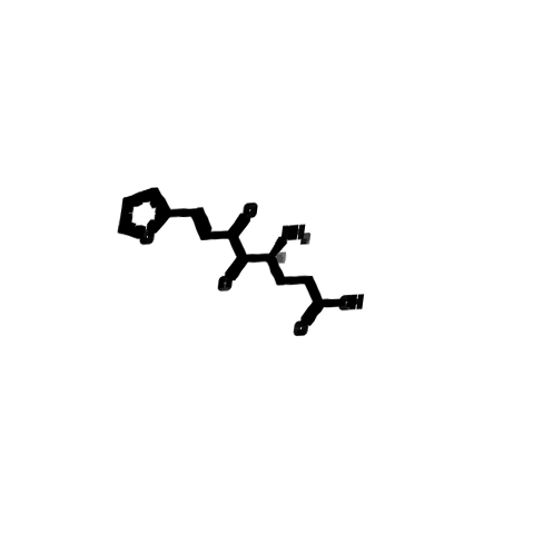 N[C@@H](CCC(=O)O)C(=O)C(=O)C=Cc1ccco1